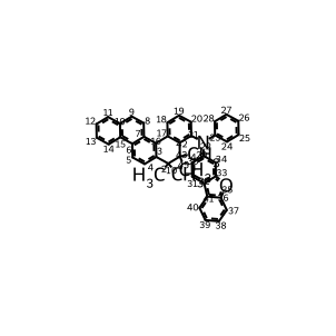 CC1(C)c2ccc3c(ccc4ccccc43)c2-c2cccc(N(c3ccccc3)c3ccc4c(c3)oc3ccccc34)c2C1(C)C